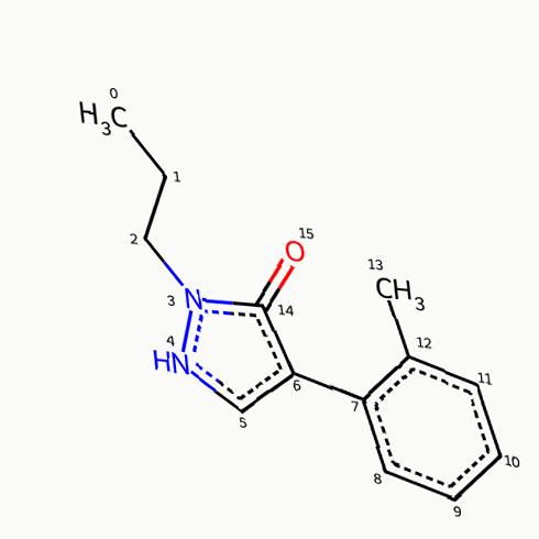 CCCn1[nH]cc(-c2ccccc2C)c1=O